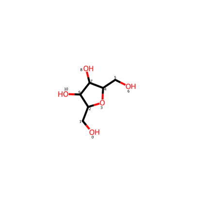 OCC1OC(CO)C(O)C1O